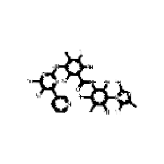 [2H]c1nc(Nc2c([2H])c(C(=O)Nc3c([2H])c(C)c([2H])c(-n4c([2H])nc(C)c4[2H])c3[2H])c([2H])c([2H])c2C)nc(-c2cccnc2)c1[2H]